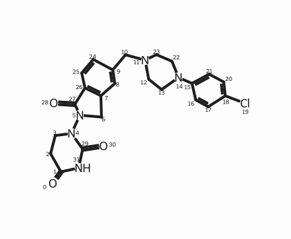 O=C1CCN(N2Cc3cc(CN4CCN(c5ccc(Cl)cc5)CC4)ccc3C2=O)C(=O)N1